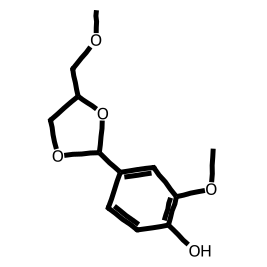 COCC1COC(c2ccc(O)c(OC)c2)O1